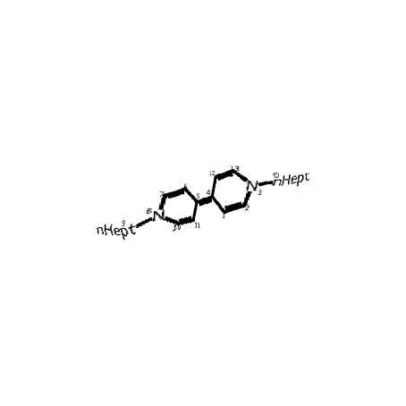 CCCCCCCN1C=CC(=C2C=CN(CCCCCCC)C=C2)C=C1